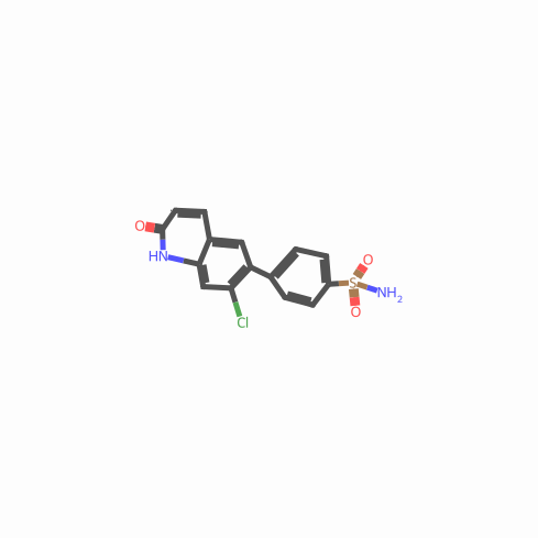 NS(=O)(=O)c1ccc(-c2cc3c[c]c(=O)[nH]c3cc2Cl)cc1